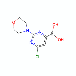 OB(O)c1cc(Cl)nc(N2CCOCC2)n1